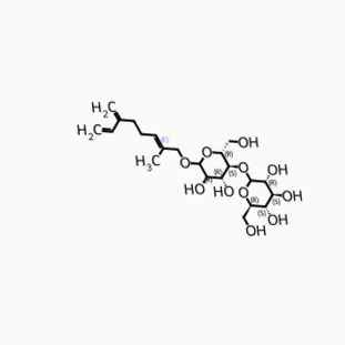 C=CC(=C)CC/C=C(\C)COC1O[C@H](CO)[C@@H](OC2O[C@H](CO)[C@@H](O)[C@H](O)[C@H]2O)[C@H](O)[C@H]1O